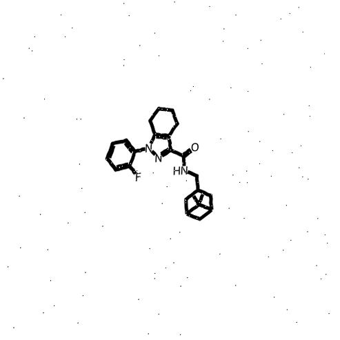 CC1(C)C2CC(CNC(=O)c3nn(-c4ccccc4F)c4c3CCCC4)CC1C2